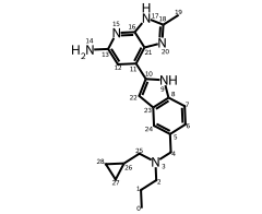 CCCN(Cc1ccc2[nH]c(-c3cc(N)nc4[nH]c(C)nc34)cc2c1)CC1CC1